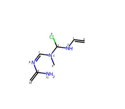 C=CNC(Cl)N(C)/C=N\C(=C)N